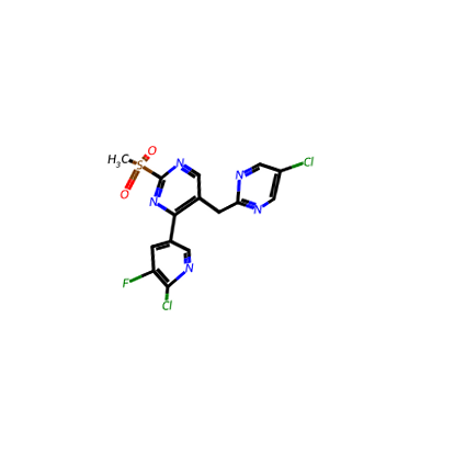 CS(=O)(=O)c1ncc(Cc2ncc(Cl)cn2)c(-c2cnc(Cl)c(F)c2)n1